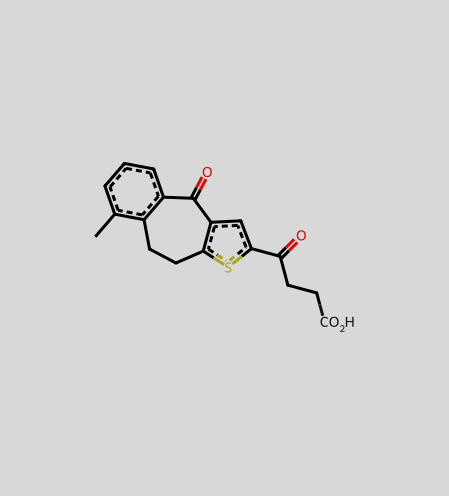 Cc1cccc2c1CCc1sc(C(=O)CCC(=O)O)cc1C2=O